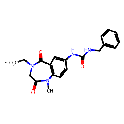 CCOC(=O)CN1CC(=O)N(C)c2ccc(NC(=O)NCc3ccccc3)cc2C1=O